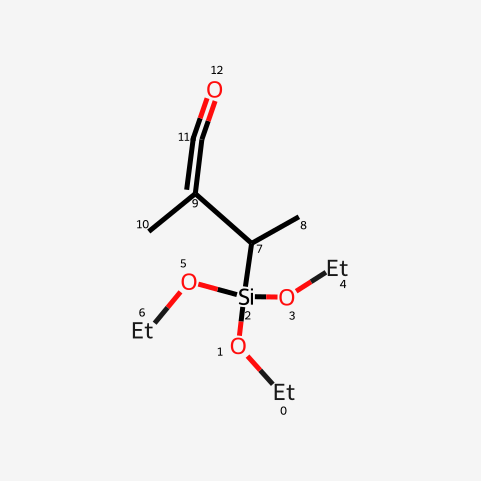 CCO[Si](OCC)(OCC)C(C)C(C)=C=O